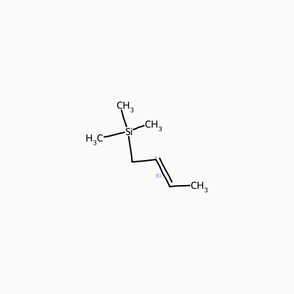 C/C=[C]/C[Si](C)(C)C